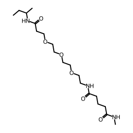 CCC(C)NC(=O)CCOCCOCCOCCNC(=O)CCCC(=O)NC